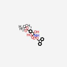 CC(C)(C)OC(=O)c1ccc(C(O)C(NC(=O)OCC2c3ccccc3-c3ccccc32)C(=O)O)cc1